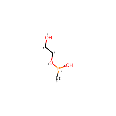 CCP(O)OCCO